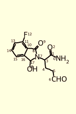 NC(=O)C(CCC=O)N1C(=O)c2c(F)cccc2C1O